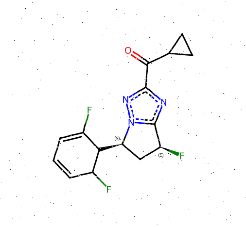 O=C(c1nc2n(n1)[C@H](C1C(F)=CC=CC1F)C[C@@H]2F)C1CC1